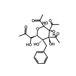 CC(=O)C(O)[C@H]1O[C@@](O)(C(C)=O)[C@](O)(C(C)=O)[C@](O)(C(C)=O)[C@@]1(O)Cc1ccccc1